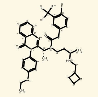 CCOc1ccc(-n2c([C@@H](C)N(CCC(C)NCC3CCC3)C(=O)Cc3ccc(F)c(C(F)(F)F)c3)nc3ncccc3c2=O)cc1